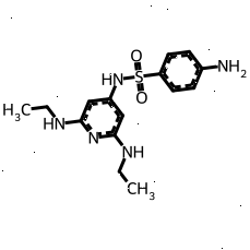 CCNc1cc(NS(=O)(=O)c2ccc(N)cc2)cc(NCC)n1